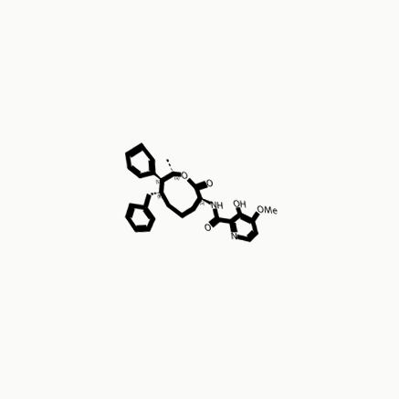 COc1ccnc(C(=O)N[C@H]2CCC[C@H](Cc3ccccc3)[C@@H](c3ccccc3)[C@H](C)OC2=O)c1O